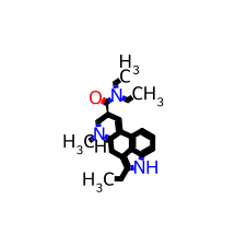 CCc1[nH]c2cccc3c2c1C[C@H]1C3=C[C@H](C(=O)N(CC)CC)CN1C